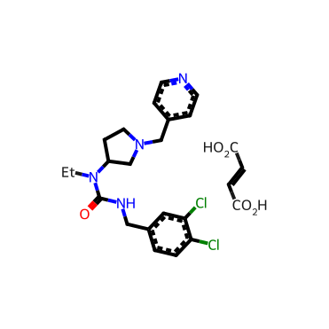 CCN(C(=O)NCc1ccc(Cl)c(Cl)c1)C1CCN(Cc2ccncc2)C1.O=C(O)C=CC(=O)O